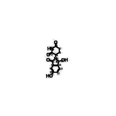 O=C1CCC(N2C(=O)c3cc(O)ccc3C2O)C(=O)N1